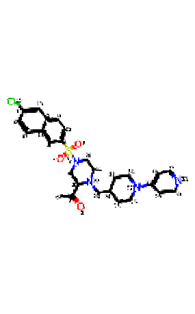 CC(=O)C1CN(S(=O)(=O)c2ccc3cc(Cl)ccc3c2)CCN1CC1CCN(c2ccncc2)CC1